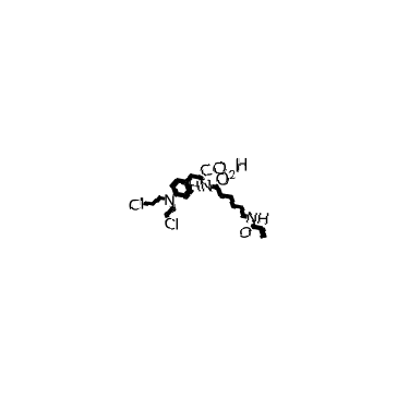 C=CC(=O)NCCCCCC(=O)NC(Cc1ccc(N(CCCl)CCCl)cc1)C(=O)O